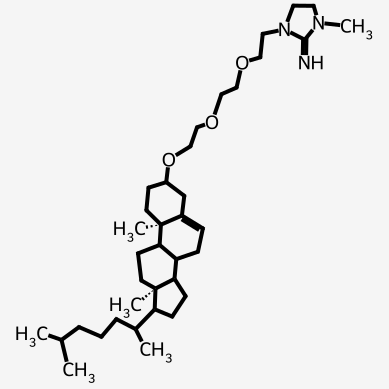 CC(C)CCCC(C)C1CCC2C3CC=C4CC(OCCOCCOCCN5CCN(C)C5=N)CC[C@]4(C)C3CC[C@]12C